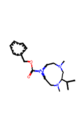 CC(C)C1CN(C)CCN(C(=O)OCc2ccccc2)CCN1C